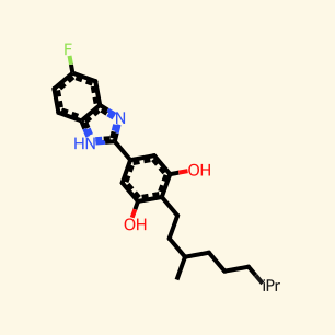 CC(C)CCCC(C)CCc1c(O)cc(-c2nc3cc(F)ccc3[nH]2)cc1O